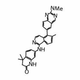 CNc1ncc2cc(-c3c(C)ccc4c(Nc5ccc6c(c5)NC(=O)CC6(C)C)nccc34)ccc2n1